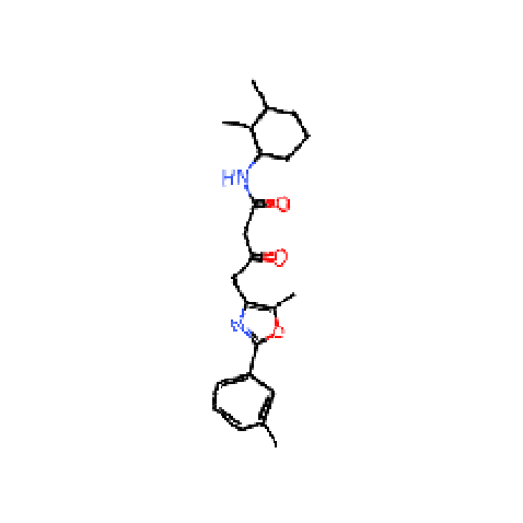 Cc1cccc(-c2nc(CC(=O)CC(=O)NC3CCCC(C)C3C)c(C)o2)c1